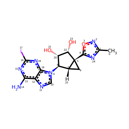 Cc1noc([C@@]23C[C@@H]2[C@@H](n2cnc4c(N)nc(I)nc42)[C@H](O)[C@@H]3O)n1